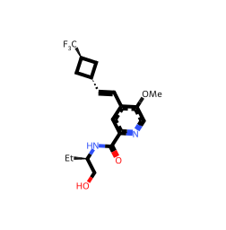 CC[C@H](CO)NC(=O)c1cc(/C=C/[C@H]2C[C@H](C(F)(F)F)C2)c(OC)cn1